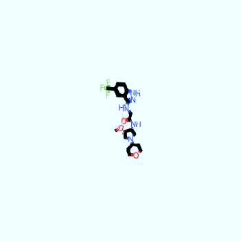 CO[C@H]1CN(C2CCOCC2)C[C@@H]1NC(=O)CNc1n[nH]c2ccc(C(F)(F)F)cc12